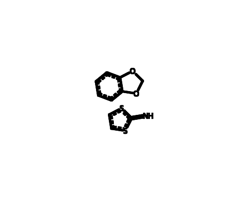 N=c1sccs1.c1ccc2c(c1)OCO2